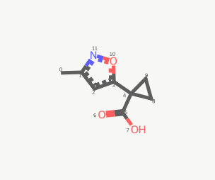 Cc1cc(C2(C(=O)O)CC2)on1